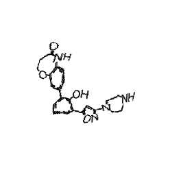 O=C1CCOc2cc(-c3cccc(-c4cc(N5CCNCC5)no4)c3O)ccc2N1